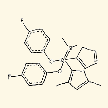 CC1=CC(C)=[C]([Zr]([O]c2ccc(F)cc2)([O]c2ccc(F)cc2)([C]2=CC=CC2)=[Si](C)C)C1